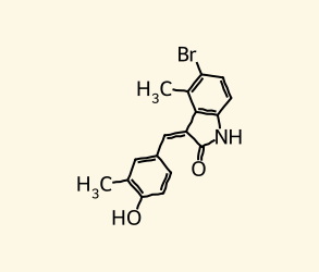 Cc1cc(C=C2C(=O)Nc3ccc(Br)c(C)c32)ccc1O